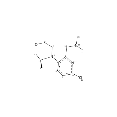 C[C@H]1COCCN1c1ccc(Cl)nc1CN(C)C